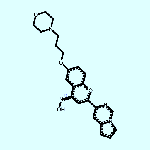 O/N=c1\cc(-c2cc3cccn3cn2)oc2ccc(OCCCN3CCOCC3)cc12